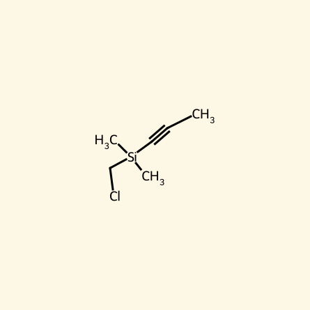 CC#C[Si](C)(C)CCl